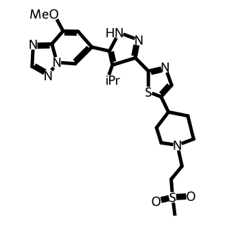 COc1cc(-c2[nH]nc(-c3ncc(C4CCN(CCS(C)(=O)=O)CC4)s3)c2C(C)C)cn2ncnc12